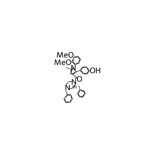 COc1cccc(-n2c(C)cc(C(=O)N3CCN(Cc4ccccc4)C[C@H]3Cc3ccccc3)c2-c2ccc(O)cc2)c1OC